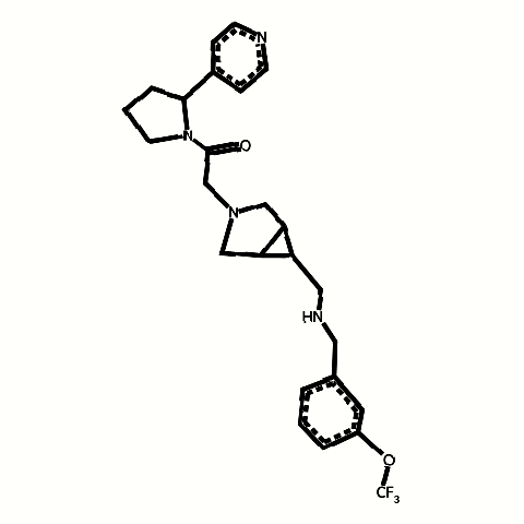 O=C(CN1CC2C(CNCc3cccc(OC(F)(F)F)c3)C2C1)N1CCCC1c1ccncc1